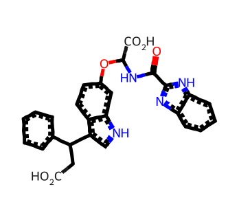 O=C(O)CC(c1ccccc1)c1c[nH]c2cc(OC(NC(=O)c3nc4ccccc4[nH]3)C(=O)O)ccc12